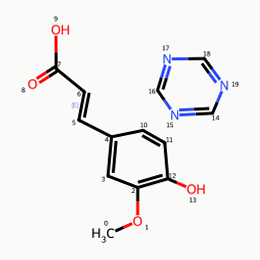 COc1cc(/C=C/C(=O)O)ccc1O.c1ncncn1